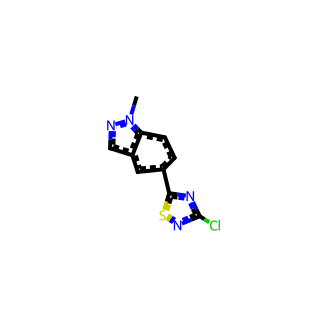 Cn1ncc2cc(-c3nc(Cl)ns3)ccc21